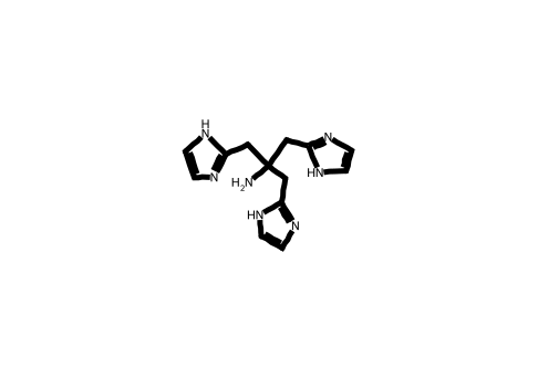 NC(Cc1ncc[nH]1)(Cc1ncc[nH]1)Cc1ncc[nH]1